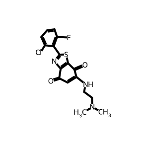 CN(C)CCNC1=CC(=O)c2nc(-c3c(F)cccc3Cl)sc2C1=O